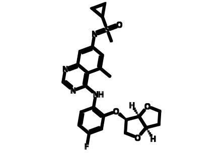 Cc1cc(N=S(C)(=O)C2CC2)cc2ncnc(Nc3ccc(F)cc3O[C@@H]3CO[C@@H]4CCO[C@@H]43)c12